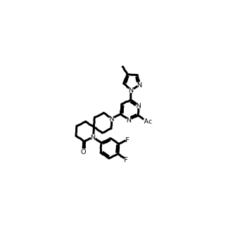 CC(=O)c1nc(N2CCC3(CCCC(=O)N3c3ccc(F)c(F)c3)CC2)cc(-n2cc(C)cn2)n1